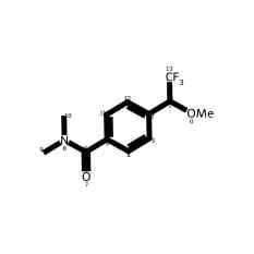 COC(c1ccc(C(=O)N(C)C)cc1)C(F)(F)F